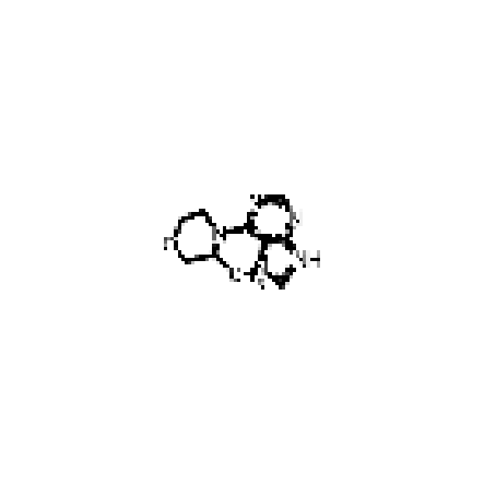 CC1COCCN1c1ncnc2[nH]cnc12